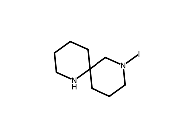 IN1CCCC2(CCCCN2)C1